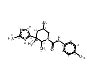 CCC1CN(C(=O)Nc2ccc(C(F)(F)F)cc2)C(C)C(C)(c2nc(C)no2)C1